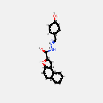 O=C(N/N=C/c1ccc(O)cc1)c1cc2c(ccc3ccccc32)o1